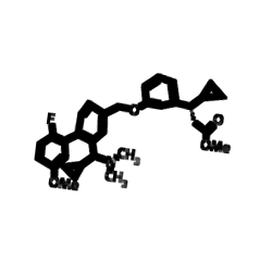 COC(=O)C[C@H](c1cccc(OCc2ccc(-c3cc(OC)ccc3F)c(C(C3CC3)N(C)C)c2)c1)C1CC1